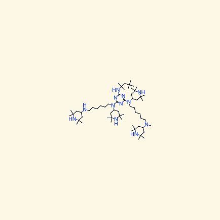 CN(CCCCCCN(c1nc(NC(C)(C)CC(C)(C)C)nc(N(CCCCCCNC2CC(C)(C)NC(C)(C)C2)C2CC(C)(C)NC(C)(C)C2)n1)C1CC(C)(C)NC(C)(C)C1)C1CC(C)(C)NC(C)(C)C1